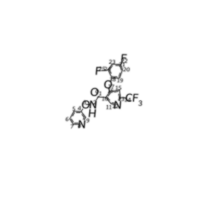 O=C(NOc1cccnc1)c1cnc(C(F)(F)F)cc1Oc1ccc(F)cc1F